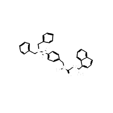 CCN(Cc1ccc(S(=O)(=O)N(Cc2ccccc2)Cc2ccccc2)cc1)C(=O)N[C@@H](C)c1cccc2ccccc12